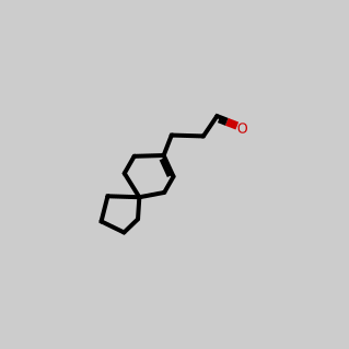 O=CCCC1=CCC2(CCCC2)CC1